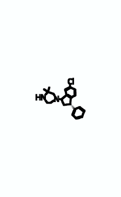 CC1(C)CN([C@@H]2C[C@@H](c3ccccc3)c3ccc(Cl)cc32)CCN1